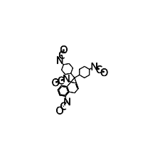 O=C=Nc1cccc2c1CC=C1C2(N=C=O)C1(C1CCC(N=C=O)CC1)C1CCC(N=C=O)CC1